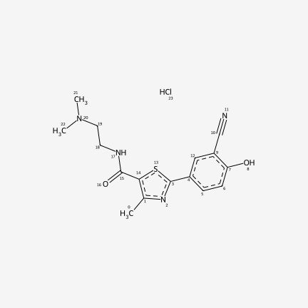 Cc1nc(-c2ccc(O)c(C#N)c2)sc1C(=O)NCCN(C)C.Cl